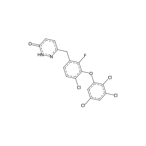 O=c1ccc(Cc2ccc(Cl)c(Oc3cc(Cl)cc(Cl)c3Cl)c2F)n[nH]1